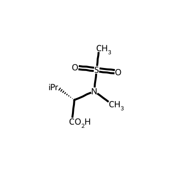 CC(C)[C@@H](C(=O)O)N(C)S(C)(=O)=O